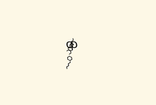 CCCCC[C@H]1CC[C@H](CCc2ccc(OC(=O)CCC)cc2C)CC1